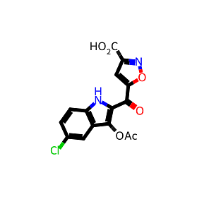 CC(=O)Oc1c(C(=O)c2cc(C(=O)O)no2)[nH]c2ccc(Cl)cc12